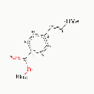 COC=Cc1ccc(C(=O)OC(C)(C)C)cc1